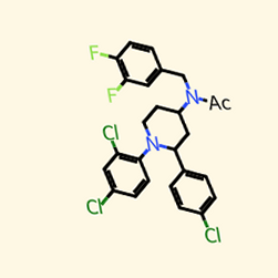 CC(=O)N(Cc1ccc(F)c(F)c1)C1CCN(c2ccc(Cl)cc2Cl)C(c2ccc(Cl)cc2)C1